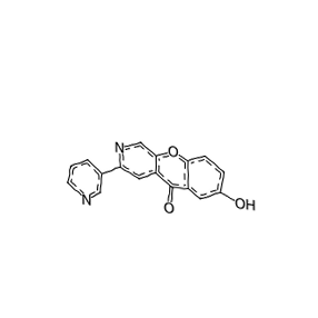 O=c1c2cc(O)ccc2oc2cnc(-c3cccnc3)cc12